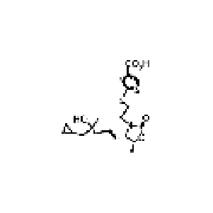 C[C@@H]1OC(=O)N(CCSc2nc(C(=O)O)cs2)[C@H]1C=CCC(C)(O)CC1CC1